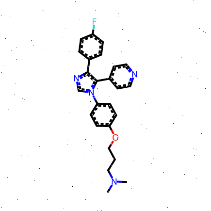 CN(C)CCCOc1ccc(-n2cnc(-c3ccc(F)cc3)c2-c2ccncc2)cc1